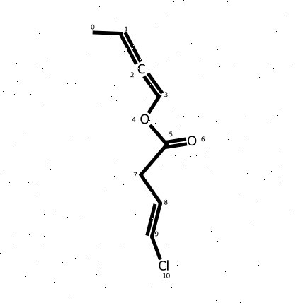 CC=C=COC(=O)CC=CCl